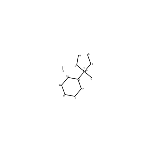 CC[N+](C)(CC)C1CCCCC1.[I-]